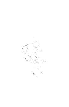 Cc1ccc(NC(=O)c2ccc(CN3CCN(C)CC3)c(Br)c2)cc1Nc1cccc(-c2cccnc2)c1